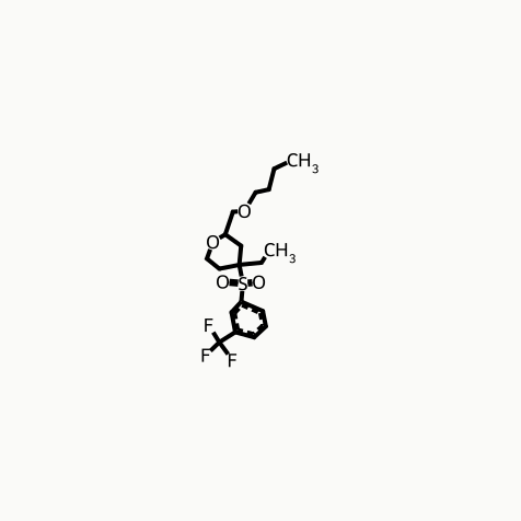 CCCCOCC1CC(CC)(S(=O)(=O)c2cccc(C(F)(F)F)c2)CCO1